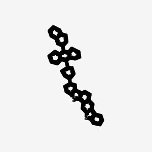 c1ccc2cc(-c3c4ccccc4c(-c4ccc(-c5ccc6sc7c8cc9sc%10ccccc%10c9cc8ccc7c6c5)cc4)c4ccccc34)ccc2c1